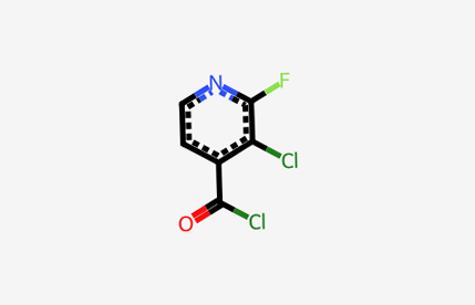 O=C(Cl)c1ccnc(F)c1Cl